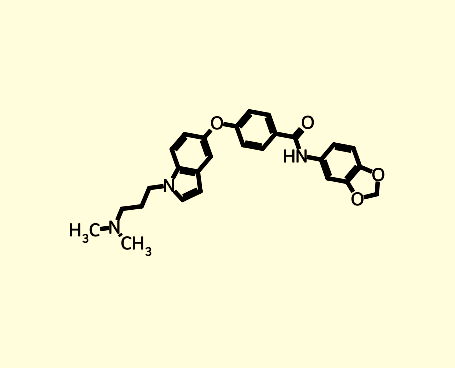 CN(C)CCCn1ccc2cc(Oc3ccc(C(=O)Nc4ccc5c(c4)OCO5)cc3)ccc21